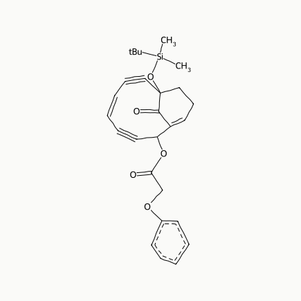 CC(C)(C)[Si](C)(C)OC12C#C/C=C\C#CC(OC(=O)COc3ccccc3)C(=CCC1)C2=O